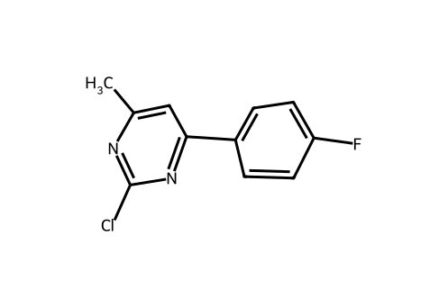 Cc1cc(-c2ccc(F)cc2)nc(Cl)n1